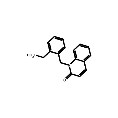 O=C(O)Cc1ccccc1Cn1c(=O)ccc2ccccc21